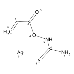 C=CC(=O)ONC(N)=S.[Ag]